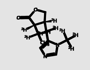 [2H]C([2H])([2H])n1cncc1C([2H])([2H])[C@@]1([2H])COC(=O)[C@@]1([2H])C([2H])([2H])C